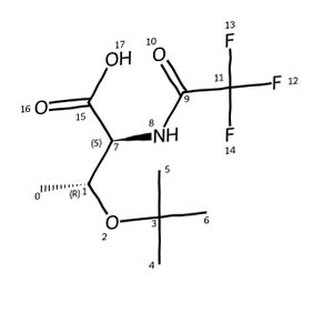 C[C@@H](OC(C)(C)C)[C@H](NC(=O)C(F)(F)F)C(=O)O